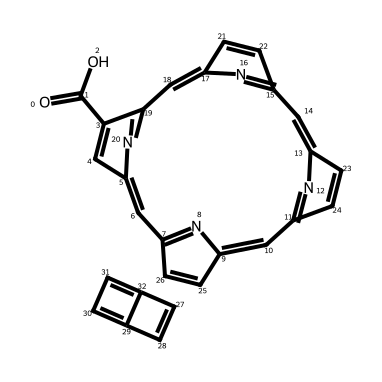 O=C(O)C1=CC2=CC3=NC(=CC4=NC(=CC5=NC(=CC1=N2)C=C5)C=C4)C=C3.c1cc2ccc1-2